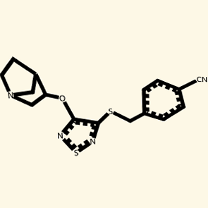 N#Cc1ccc(CSc2nsnc2OC2CN3CCC2C3)cc1